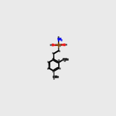 COc1ccc(CCS(N)(=O)=O)c(OC)c1